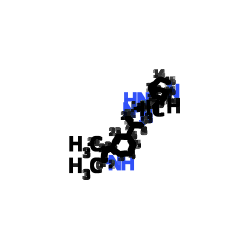 Cc1[nH]c2ccc(-c3cnc(N[C@H]4C5CCN(CC5)[C@@H]4C)nc3)cc2c1C